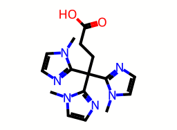 Cn1ccnc1C(CCC(=O)O)(c1nccn1C)c1nccn1C